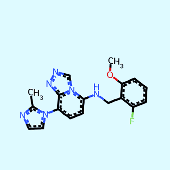 COc1cccc(F)c1CNc1ccc(-n2ccnc2C)c2nncn12